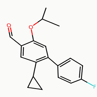 CC(C)Oc1cc(-c2ccc(F)cc2)c(C2CC2)cc1C=O